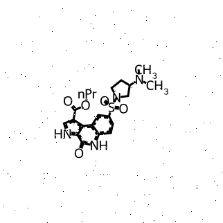 CCCOC(=O)c1c[nH]c2c(=O)[nH]c3ccc(S(=O)(=O)N4CCC(N(C)C)C4)cc3c12